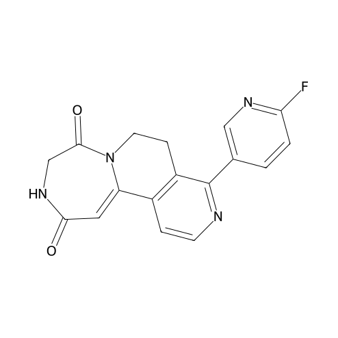 O=C1C=C2c3ccnc(-c4ccc(F)nc4)c3CCN2C(=O)CN1